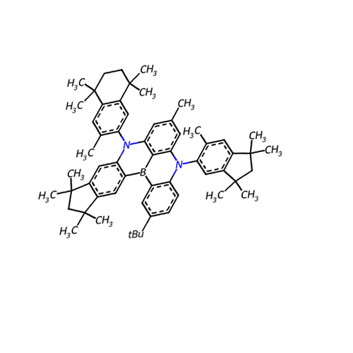 Cc1cc2c3c(c1)N(c1cc4c(cc1C)C(C)(C)CCC4(C)C)c1cc4c(cc1B3c1cc(C(C)(C)C)ccc1N2c1cc2c(cc1C)C(C)(C)CC2(C)C)C(C)(C)CC4(C)C